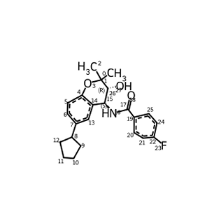 CC1(C)Oc2ccc(C3CCCC3)cc2[C@H](NC(=O)c2ccc(F)cc2)[C@H]1O